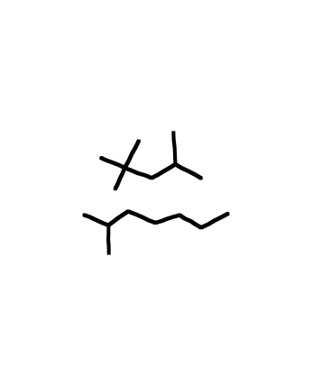 CC(C)CC(C)(C)C.CCCCCC(C)C